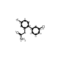 NC(=O)Cc1cc(F)ccc1-c1cccc(Cl)c1